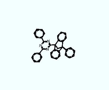 c1ccc(-c2nc(-c3ccccc3)nc(C34CC(c5ccccc5)(c5ccccc53)c3ccccc34)n2)cc1